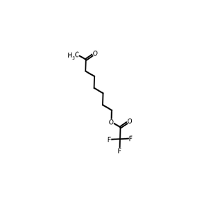 CC(=O)CCCCCCOC(=O)C(F)(F)F